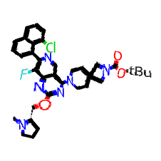 CN1CCC[C@H]1COc1nc(N2CCC3(CC2)CN(C(=O)OC(C)(C)C)C3)c2cnc(-c3cccc4cccc(Cl)c34)c(F)c2n1